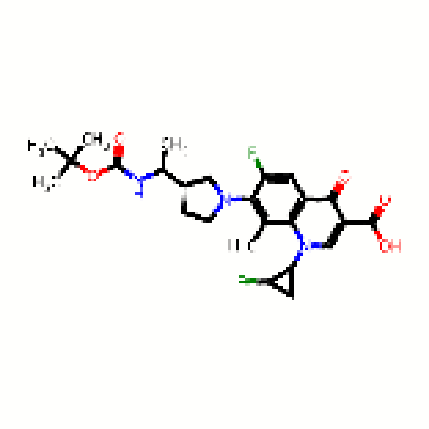 Cc1c(N2CC[C@@H]([C@H](C)NC(=O)OC(C)(C)C)C2)c(F)cc2c(=O)c(C(=O)O)cn(C3CC3F)c12